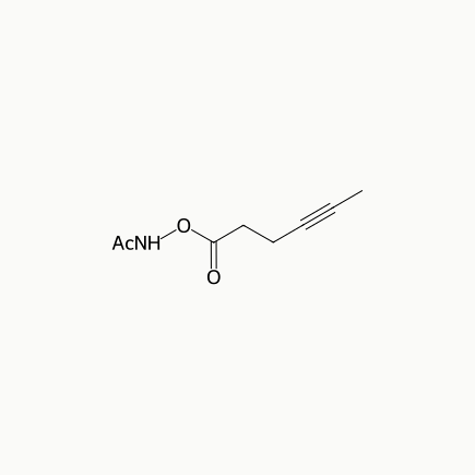 CC#CCCC(=O)ONC(C)=O